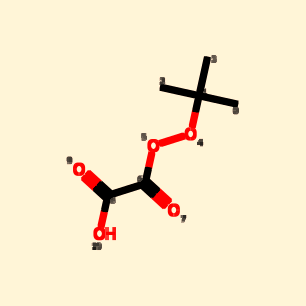 CC(C)(C)OOC(=O)C(=O)O